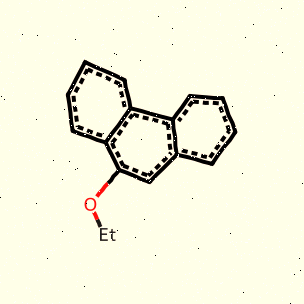 CCOc1cc2ccccc2c2ccccc12